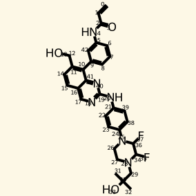 C=CC(=O)Nc1cccc(-c2c(CO)ccc3cnc(Nc4ccc(N5CCN(CC(C)(C)O)C(F)C5F)cc4)nc23)c1